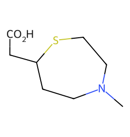 CN1CCSC(CC(=O)O)CC1